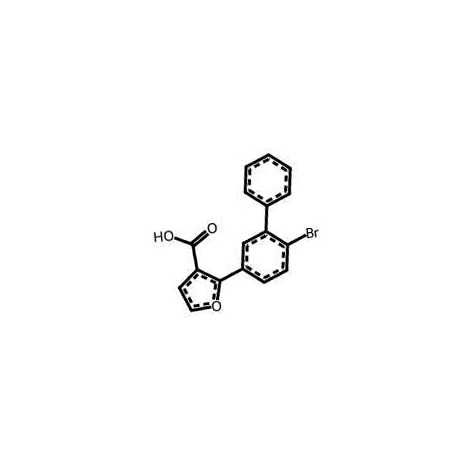 O=C(O)c1ccoc1-c1ccc(Br)c(-c2ccccc2)c1